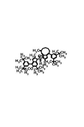 C=C1/C=C2\C(=C(\c3cc(C(C)(C)C)cc(C(C)(C)C)c3)CCCC1)C=C(C)[C@H]2[Si](C)(C)C1C(C)=Cc2c1cc(C(C)(C)C)c(OC)c2-c1cc(C(C)(C)C)cc(C(C)(C)C)c1